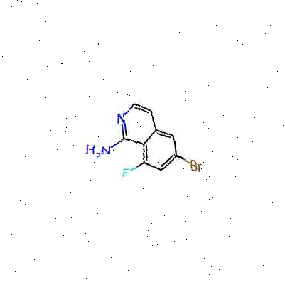 Nc1nccc2cc(Br)cc(F)c12